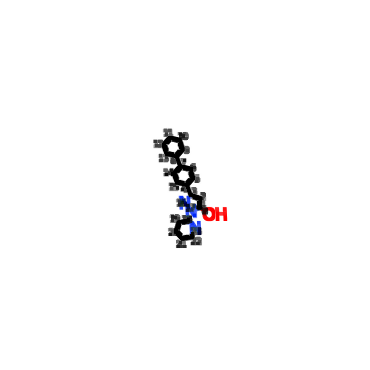 Oc1cc(-c2ccc(-c3ccccc3)cc2)nn1-c1ccccn1